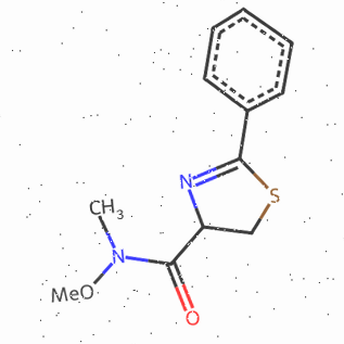 CON(C)C(=O)C1CSC(c2ccccc2)=N1